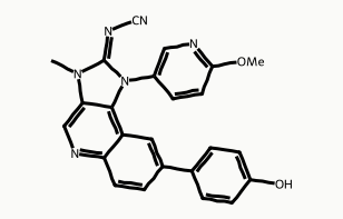 COc1ccc(-n2c(=NC#N)n(C)c3cnc4ccc(-c5ccc(O)cc5)cc4c32)cn1